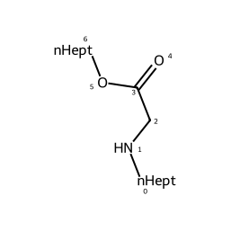 CCCCCCCNCC(=O)OCCCCCCC